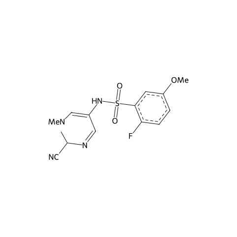 CN/C=C(\C=N/C(C)C#N)NS(=O)(=O)c1cc(OC)ccc1F